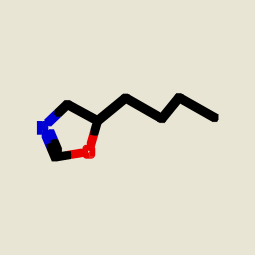 CCCCC1CN=CO1